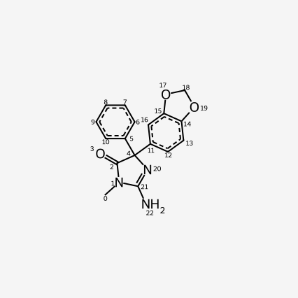 CN1C(=O)C(c2ccccc2)(c2ccc3c(c2)OCO3)N=C1N